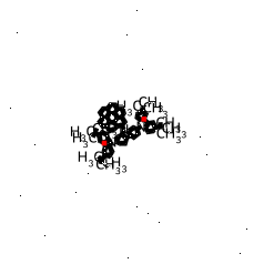 CC(C)(C)c1ccc2c(c1)c1cc(C(C)(C)C)ccc1n2-c1ccc2c3ccc(-n4c5ccc(C(C)(C)C)cc5c5cc(C(C)(C)C)ccc54)cc3n(-c3cc4ccc5ccc6ccc7ccc8ccc3c3c8c7c6c5c43)c2c1